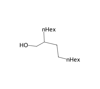 CCCCCCCCC(CO)CCCCCC